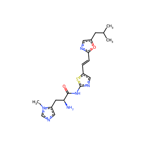 CC(C)Cc1cnc(/C=C/c2cnc(NC(=O)[C@@H](N)Cc3cncn3C)s2)o1